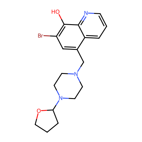 Oc1c(Br)cc(CN2CCN(C3CCCO3)CC2)c2cccnc12